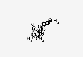 COc1ccc2cc([C@H](C)C(=O)n3ccc4c(N(C)[C@H]5CN(C(=O)CC#N)CC[C@H]5C)ncnc43)ccc2c1